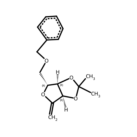 C=C1O[C@H](COCc2ccccc2)[C@H]2OC(C)(C)O[C@@H]12